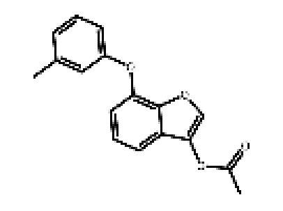 CC(=O)Oc1coc2c(Oc3cccc(C)c3)cccc12